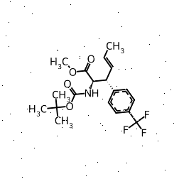 C/C=C/[C@H](c1ccc(C(F)(F)F)cc1)[C@@H](NC(=O)OC(C)(C)C)C(=O)OC